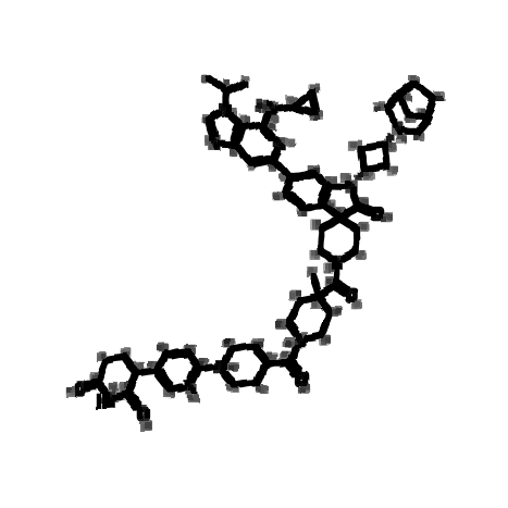 CC(C)n1cnc2cc(-c3ccc4c(c3)N([C@H]3C[C@@H](N5CC6CCC(C6)C5)C3)C(=O)C43CCN(C(=O)C4(C)CCN(C(=O)C5CCN(c6ccc(C7CCC(=O)NC7=O)cn6)CC5)CC4)CC3)nc(NC3CC3)c21